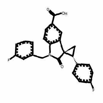 O=C(O)c1ccc2c(c1)[C@@]1(C[C@@H]1c1ccc(F)cc1)C(=O)N2Cc1cccc(F)c1